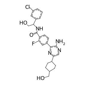 Nc1ncc(C2CCC(CO)CC2)nc1-c1ccc(C(=O)NC(CO)c2cccc(Cl)c2)c(F)c1